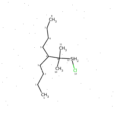 CCCCC(CCCC)C(C)(C)[SiH2]Cl